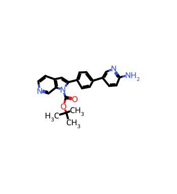 CC(C)(C)OC(=O)n1c(-c2ccc(-c3ccc(N)nc3)cc2)cc2ccncc21